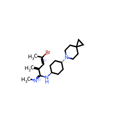 C=C(/C=C(\C)Br)/C(=N\C)N[C@H]1CC[C@H](N2CCC3(CC2)CC3)CC1